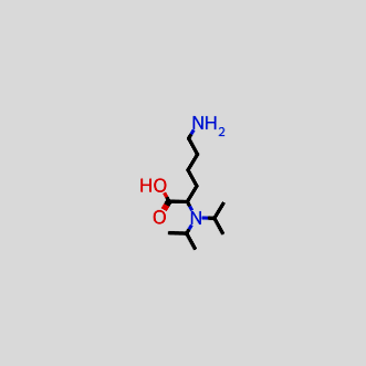 CC(C)N(C(C)C)C(CCCCN)C(=O)O